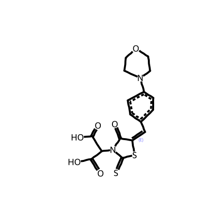 O=C(O)C(C(=O)O)N1C(=O)/C(=C\c2ccc(N3CCOCC3)cc2)SC1=S